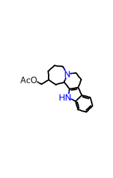 CC(=O)OCC1CCCN2CCc3c([nH]c4ccccc34)C2C1